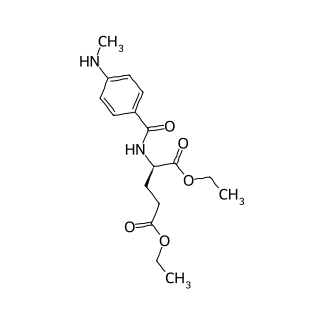 CCOC(=O)CC[C@@H](NC(=O)c1ccc(NC)cc1)C(=O)OCC